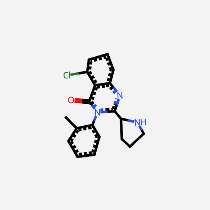 Cc1ccccc1-n1c(C2CCCN2)nc2cccc(Cl)c2c1=O